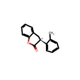 Cc1ccccc1[C@@H]1Cc2ccccc2OC1=O